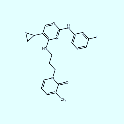 O=c1c(C(F)(F)F)cccn1CCCNc1nc(Nc2cccc(F)c2)ncc1C1CC1